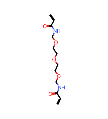 C=CC(=O)NCOCCOCCOCNC(=O)C=C